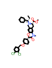 CC[C@@H](c1ccccc1)N1Cc2cc3c(cc2C[C@H]1C(=O)OC)N(C)C(=O)[C@H](c1ccc(OCc2ccc(Cl)c(Cl)c2)cc1)O3